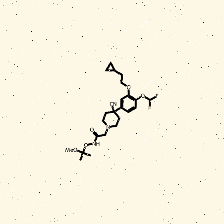 COC(C)(C)ONC(=O)CN1CCC(C#N)(c2ccc(OC(F)F)c(OCCC3CC3)c2)CC1